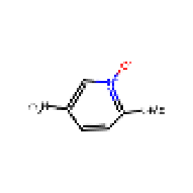 COc1ccc([N+](=O)[O-])c[n+]1[O-]